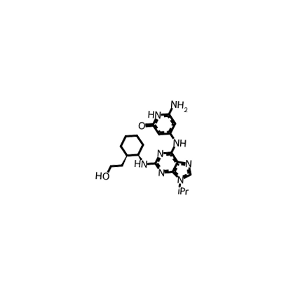 CC(C)n1cnc2c(Nc3cc(N)[nH]c(=O)c3)nc(N[C@@H]3CCCC[C@@H]3CCO)nc21